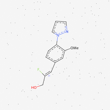 COc1cc(/C=C(\F)CO)ccc1-n1cccn1